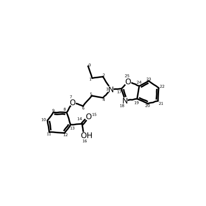 CCCN(CCCOc1ccccc1C(=O)O)c1nc2ccccc2o1